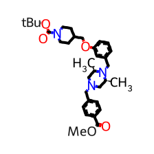 COC(=O)c1ccc(CN2C[C@@H](C)N(Cc3cccc(OCC4CCN(C(=O)OC(C)(C)C)CC4)c3)[C@@H](C)C2)cc1